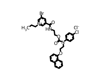 CCC[n+]1cc(Br)cc(C(=O)NCCOC(=O)N(CCOc2cccc3ccccc23)c2ccc(Cl)cc2)c1.[Cl-]